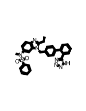 CCc1nc2ccc(N(C)S(=O)(=O)c3ccccc3)cc2n1Cc1ccc(-c2ccccc2-c2nnn[nH]2)cc1